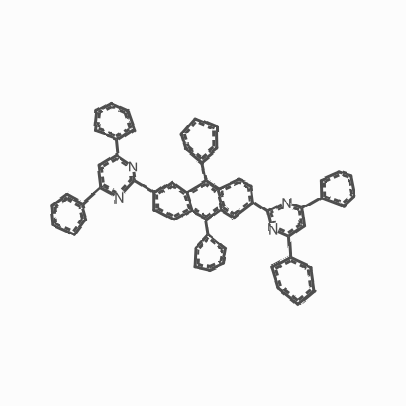 c1ccc(-c2cc(-c3ccccc3)nc(-c3ccc4c(-c5ccccc5)c5cc(-c6nc(-c7ccccc7)cc(-c7ccccc7)n6)ccc5c(-c5ccccc5)c4c3)n2)cc1